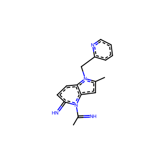 CC(=N)n1c(=N)ccc2c1cc(C)n2Cc1ccccn1